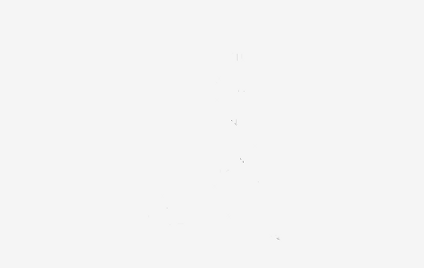 CC(C)(C)OC(=O)N1CCN(C(=O)C(c2cccc(Br)c2)C2(O)CCC(C(C)(C)C)CC2)CC1